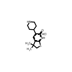 CC1(C)CSc2[nH]c(=O)c(C3CCNCC3)cc21.Cl